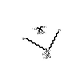 CC(C)CCCCCCCCCCOP(=O)(OCCCCCCCCCCC(C)C)OP(=O)(O)O.OCC(CO)(CO)CO